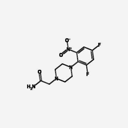 NC(=O)CN1CCN(c2c(F)cc(F)cc2[N+](=O)[O-])CC1